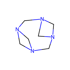 C1N2CN1CN1CN(C1)C2